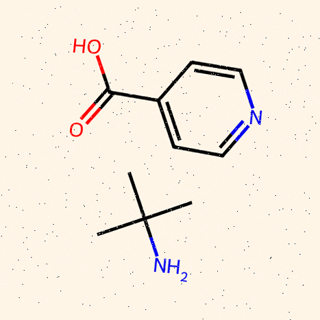 CC(C)(C)N.O=C(O)c1ccncc1